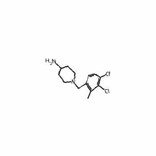 Cc1c(CN2CCC(N)CC2)ccc(Cl)c1Cl